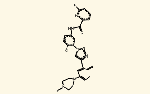 C=C/C(=C\C(=C/C)N1CCN(C)CC1)c1cn(-c2cc(NC(=O)c3cccc(F)n3)ccc2Cl)nn1